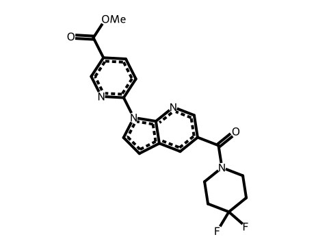 COC(=O)c1ccc(-n2ccc3cc(C(=O)N4CCC(F)(F)CC4)cnc32)nc1